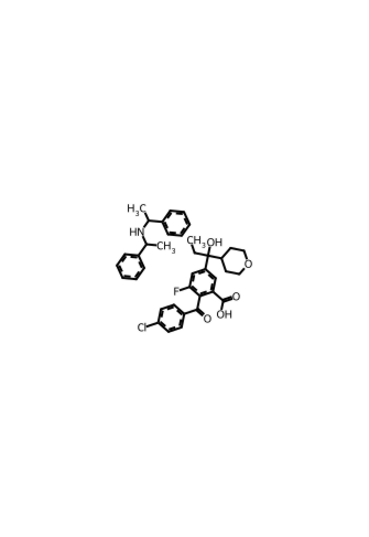 CC(NC(C)c1ccccc1)c1ccccc1.CCC(O)(c1cc(F)c(C(=O)c2ccc(Cl)cc2)c(C(=O)O)c1)C1CCOCC1